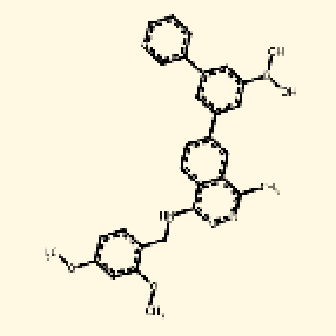 COc1ccc(CNc2nnc(C)c3cc(-c4cc(B(O)O)cc(-c5cccnc5)c4)ccc23)c(OC)c1